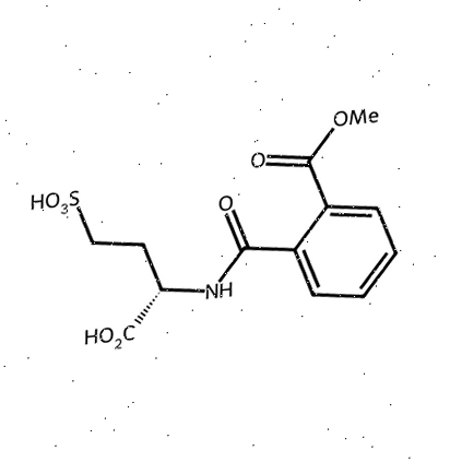 COC(=O)c1ccccc1C(=O)N[C@@H](CCS(=O)(=O)O)C(=O)O